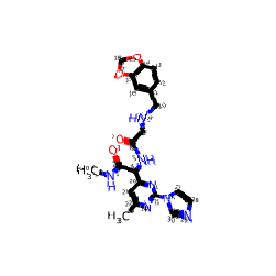 CNC(=O)C(NC(=O)CNCc1ccc2c(c1)OCO2)c1cc(C)nc(-n2ccnc2)n1